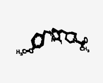 COc1ccc(Cn2cc(CC3CCN(C(C)=O)CC3)c(I)n2)cc1